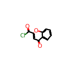 O=C(Cl)c1cc(=O)c2ccccc2o1